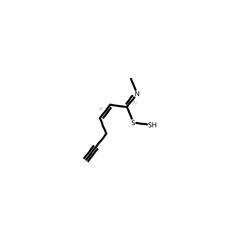 C#CC/C=C\C(=N/C)SS